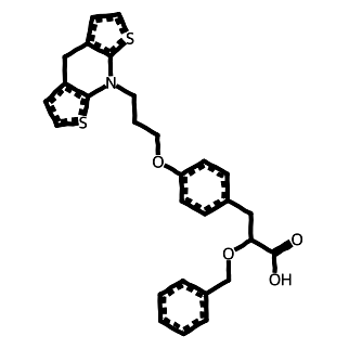 O=C(O)C(Cc1ccc(OCCCN2c3sccc3Cc3ccsc32)cc1)OCc1ccccc1